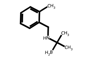 BC(C)(C)NCc1ccccc1C